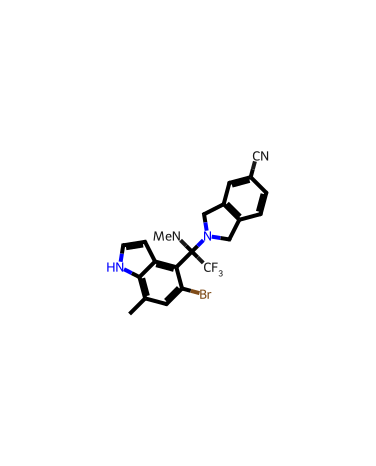 CNC(c1c(Br)cc(C)c2[nH]ccc12)(N1Cc2ccc(C#N)cc2C1)C(F)(F)F